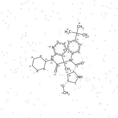 CO[C@H]1CN[C@@H](C(=O)N(c2ccc(C(C)(C)C)cc2)C(C)(C(=O)NC2CCCCC2)c2cccnc2)C1